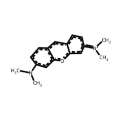 CN(C)c1ccc2cc3ccc(=[N+](C)C)cc-3oc2c1